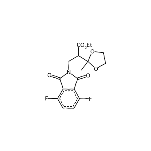 CCOC(=O)C(CN1C(=O)c2c(F)ccc(F)c2C1=O)C1(C)OCCO1